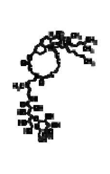 CCCCCCCC/C=C1\CCCCCCCC(=O)N(CCN(C)CCNC(=O)C(O)C(O)C(O[C@@H]2OC(CO)C(O)(O)C(O)C2O)C(O)CO)CCC(=O)OC2CC[C@]13C(=CC[C@H]1[C@@H]4CC[C@H]([C@H](C)CCCC(C)C)[C@@]4(C)CC[C@@H]13)C2